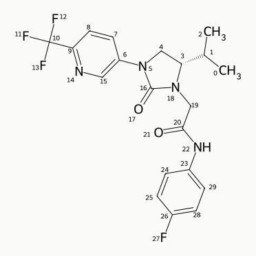 CC(C)[C@H]1CN(c2ccc(C(F)(F)F)nc2)C(=O)N1CC(=O)Nc1ccc(F)cc1